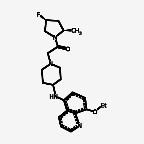 CCOc1ccc(NC2CCN(CC(=O)N3C[C@@H](F)C[C@H]3C)CC2)c2cccnc12